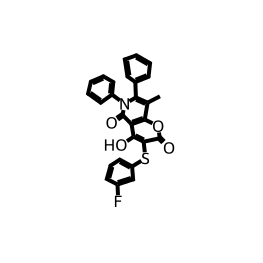 Cc1c(-c2ccccc2)n(-c2ccccc2)c(=O)c2c(O)c(Sc3cccc(F)c3)c(=O)oc12